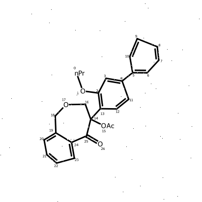 CCCOc1cc(-c2ccccc2)ccc1C1(OC(C)=O)COCc2ccccc2C1=O